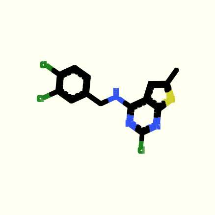 Cc1cc2c(NCc3ccc(Cl)c(Cl)c3)nc(Cl)nc2s1